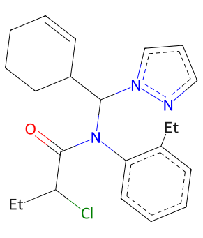 CCc1ccccc1N(C(=O)C(Cl)CC)C(C1C=CCCC1)n1cccn1